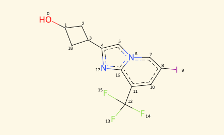 OC1CC(c2cn3cc(I)cc(C(F)(F)F)c3n2)C1